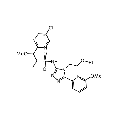 CCOCCn1c(NS(=O)(=O)C(C)C(OC)c2ncc(Cl)cn2)nnc1-c1cccc(OC)n1